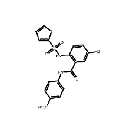 O=C(O)c1ccc(NC(=O)c2cc(Cl)ccc2NS(=O)(=O)c2cccs2)cc1